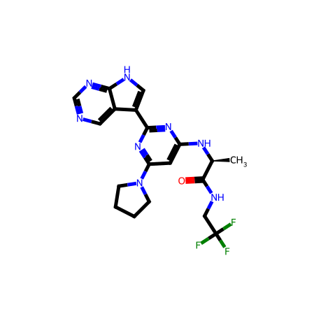 C[C@H](Nc1cc(N2CCCC2)nc(-c2c[nH]c3ncncc23)n1)C(=O)NCC(F)(F)F